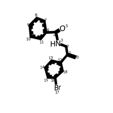 C=C(CNC(=O)c1ccccc1)c1cccc(Br)c1